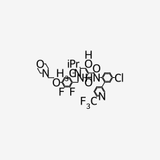 CC(C)[C@H]1C(O)=C(C(=O)Nc2ccc(Cl)cc2-c2ccc(C(F)(F)F)nc2)C(=O)N(Cc2ccc(OCCN3CCOCC3)c(F)c2F)N1C